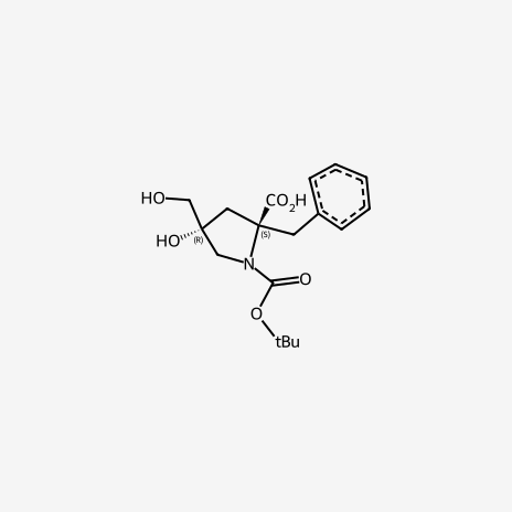 CC(C)(C)OC(=O)N1C[C@@](O)(CO)C[C@@]1(Cc1ccccc1)C(=O)O